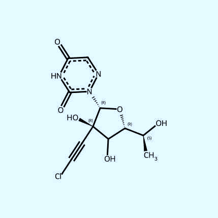 C[C@H](O)[C@H]1O[C@@H](n2ncc(=O)[nH]c2=O)[C@@](O)(C#CCl)C1O